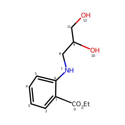 CCOC(=O)c1ccccc1NCC(O)CO